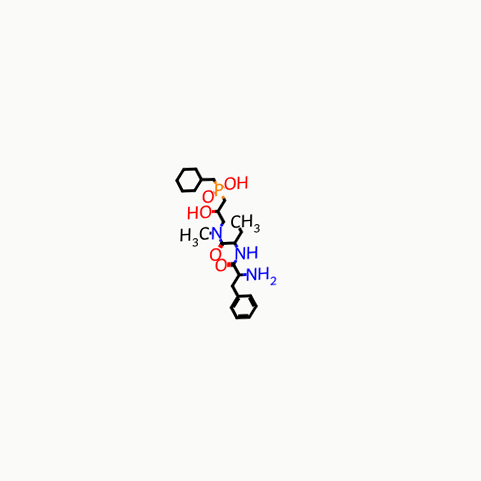 CCC(NC(=O)C(N)Cc1ccccc1)C(=O)N(C)CC(O)CP(=O)(O)CC1CCCCC1